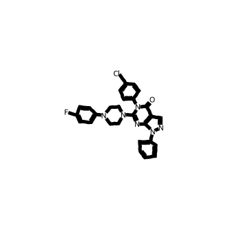 O=c1c2cnn(-c3ccccc3)c2nc(N2CCN(c3ccc(F)cc3)CC2)n1-c1ccc(Cl)cc1